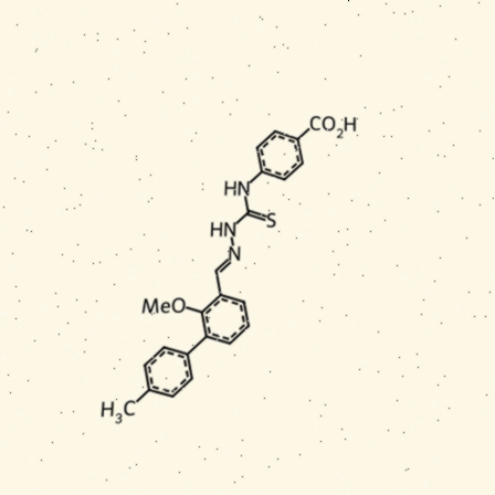 COc1c(C=NNC(=S)Nc2ccc(C(=O)O)cc2)cccc1-c1ccc(C)cc1